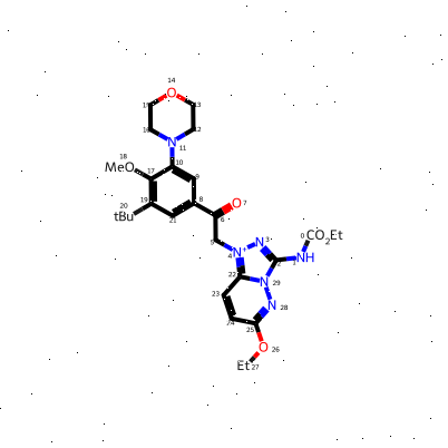 CCOC(=O)Nc1n[n+](CC(=O)c2cc(N3CCOCC3)c(OC)c(C(C)(C)C)c2)c2ccc(OCC)nn12